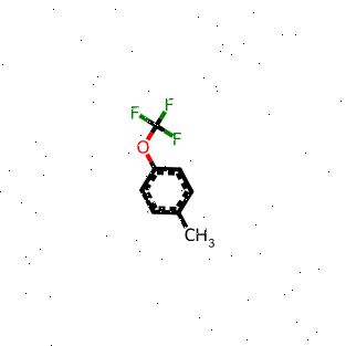 Cc1[c]cc(OC(F)(F)F)cc1